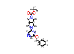 CC(C)(C)OC(=O)N1CC2CN(c3cncc(OCc4ccccc4)n3)CC2C1